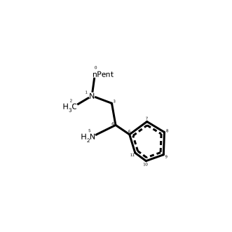 CCCCCN(C)CC(N)c1ccccc1